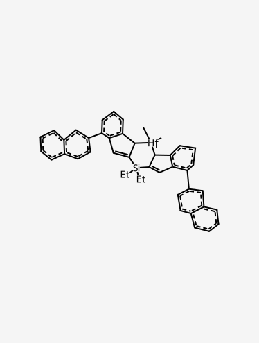 CC[Si]1(CC)C2=Cc3c(-c4ccc5ccccc5c4)cccc3[CH]2[Hf]([CH3])([CH3])[CH]2C1=Cc1c(-c3ccc4ccccc4c3)cccc12